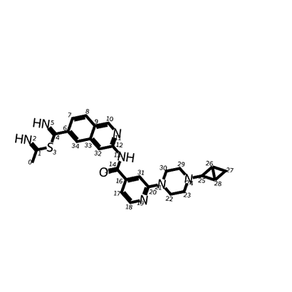 CC(=N)SC(=N)c1ccc2cnc(NC(=O)c3ccnc(N4CCN(C5C6CC65)CC4)c3)cc2c1